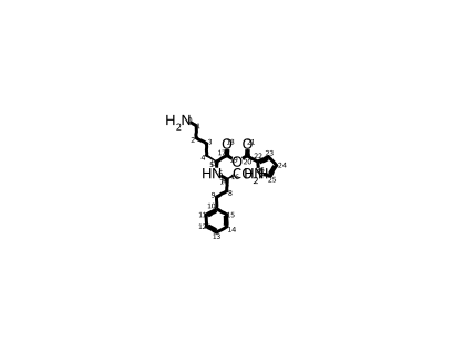 NCCCC[C@H](N[C@H](CCc1ccccc1)C(=O)O)C(=O)OC(=O)c1ccc[nH]1